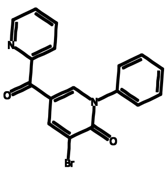 O=C(c1cc(Br)c(=O)n(-c2ccccc2)c1)c1ccccn1